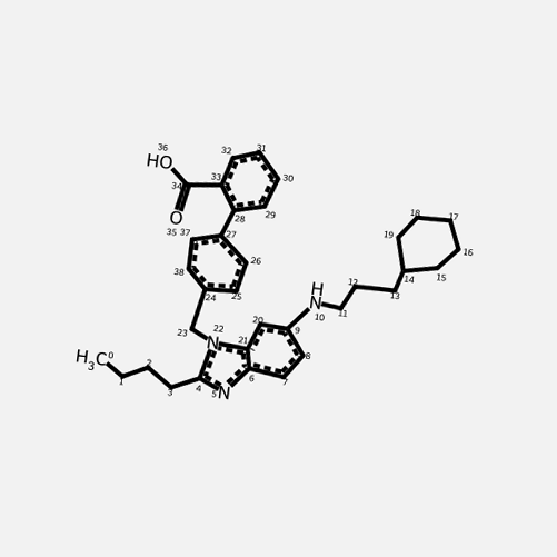 CCCCc1nc2ccc(NCCCC3CCCCC3)cc2n1Cc1ccc(-c2ccccc2C(=O)O)cc1